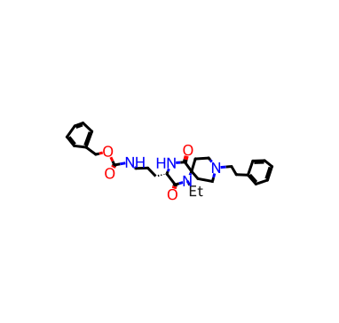 CCN1C(=O)[C@H](CCCNC(=O)OCc2ccccc2)NC(=O)C12CCN(CCc1ccccc1)CC2